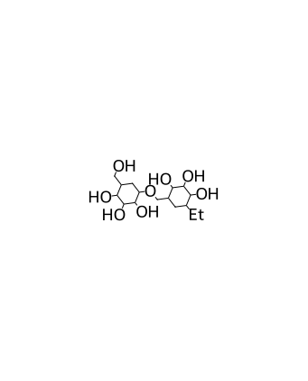 CCC1CC(COC2CC(CO)C(O)C(O)C2O)C(O)C(O)C1O